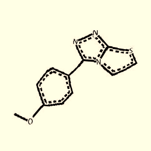 COc1ccc(-c2nnc3sccn23)cc1